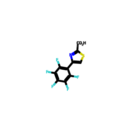 O=C(O)c1nc(-c2c(F)c(F)c(F)c(F)c2F)cs1